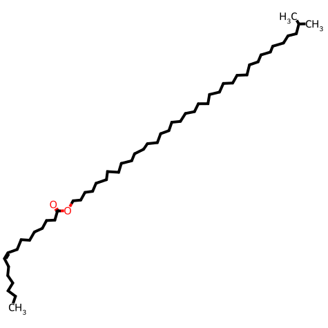 CCCCCC/C=C\CCCCCCCC(=O)OCCCCCCCCCCCCCCCCCCCCCCCCCCCCCCCCCCCCC(C)C